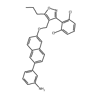 CCCc1onc(-c2c(Cl)cccc2Cl)c1COc1ccc2cc(-c3cccc(N)c3)ccc2c1